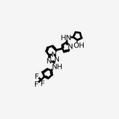 O[C@@H]1CCCC1Nc1cc(-c2cccc3nc(Nc4ccc(C(F)(F)F)cc4)nn23)ccn1